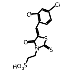 O=C1/C(=C/c2ccc(Cl)cc2Cl)SC(=S)N1CCS(=O)(=O)O